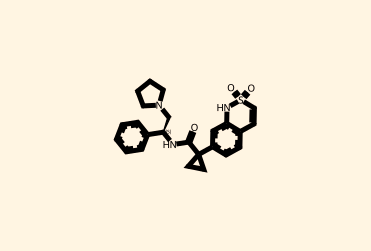 O=C(N[C@H](CN1CCCC1)c1ccccc1)C1(c2ccc3c(c2)NS(=O)(=O)C=C3)CC1